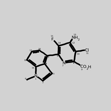 Cn1ccc2c(-c3nc(C(=O)O)c(Cl)c(N)c3F)cccc21